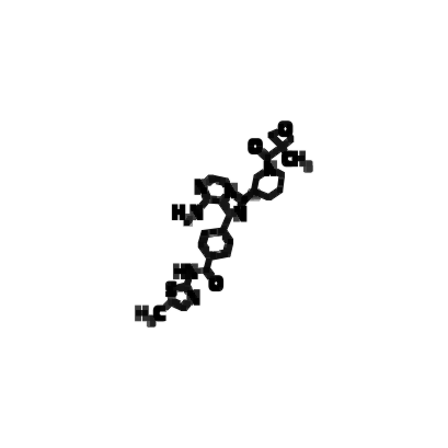 Cc1cnc(NC(=O)c2ccc(-c3nc([C@@H]4CCCN(C(=O)C5(C)COC5)C4)n4ccnc(N)c34)cc2)s1